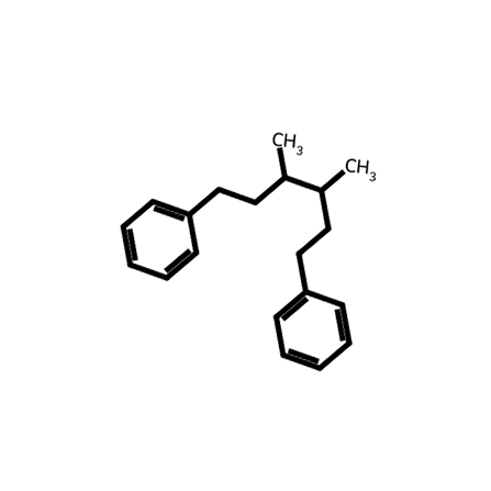 CC(CCc1ccccc1)C(C)CCc1ccccc1